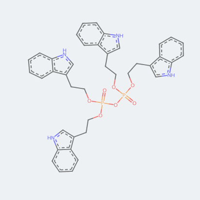 O=P(OCCc1c[nH]c2ccccc12)(OCCc1c[nH]c2ccccc12)OP(=O)(OCCc1c[nH]c2ccccc12)OCCc1c[nH]c2ccccc12